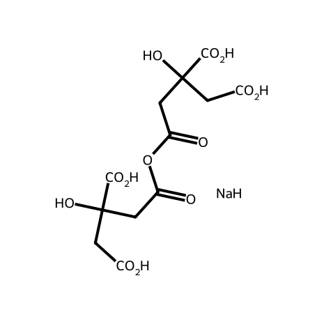 O=C(O)CC(O)(CC(=O)OC(=O)CC(O)(CC(=O)O)C(=O)O)C(=O)O.[NaH]